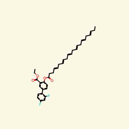 CCC=CCC=CCC=CCC=CCC=CCC=CCCC(=O)Oc1ccc(-c2ccc(F)cc2F)cc1C(=O)OCC